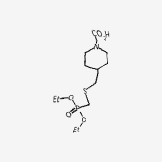 CCOP(=O)(CSCC1CCN(C(=O)O)CC1)OCC